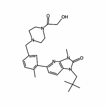 Cc1ccc(CN2CCN(C(=O)CO)CC2)cc1-c1ccc2c(n1)n(C)c(=O)n2CC(C)(C)C